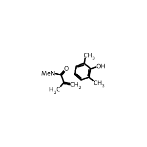 C=C(C)C(=O)NC.Cc1cccc(C)c1O